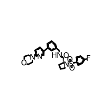 O=C(NCc1cccc(-c2ccc(N3CCOCC3)nc2)c1)[C@@H]1CCCN1S(=O)(=O)c1ccc(F)cc1